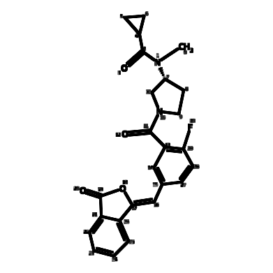 CN(C(=O)C1CC1)[C@@H]1CCN(C(=O)c2cc(C=C3OC(=O)c4ccccc43)ccc2F)C1